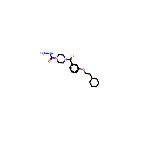 NNC(=O)N1CCN(C(=O)c2cccc(OCCC3CCCCC3)c2)CC1